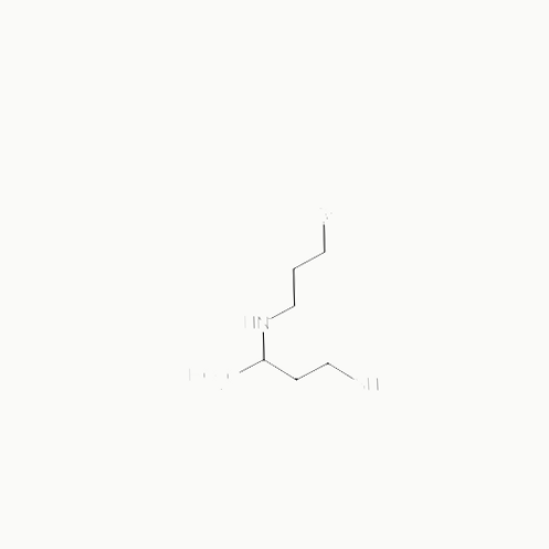 O=C(O)C(CCS)NCCCBr